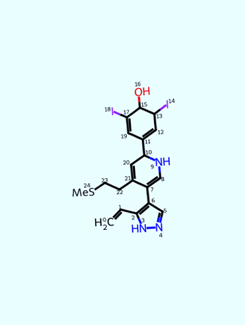 C=Cc1[nH]ncc1C1=CNC(C2=CC(I)C(O)C(I)=C2)C=C1CCSC